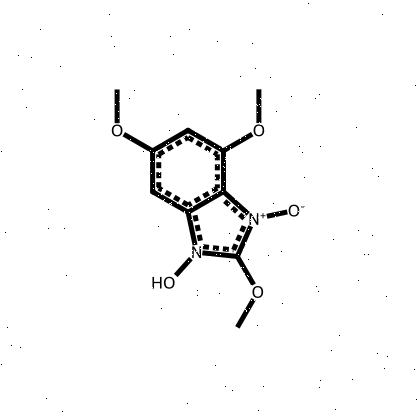 COc1cc(OC)c2c(c1)n(O)c(OC)[n+]2[O-]